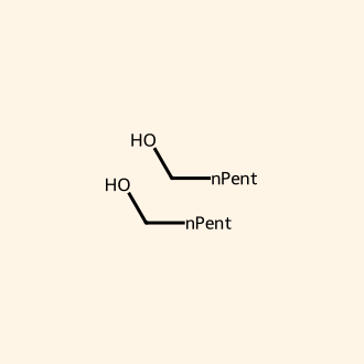 CCCCCCO.CCCCCCO